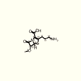 CO[C@H]1C(=O)N2C(C(=O)O)=C(CCCN)S[C@H]12